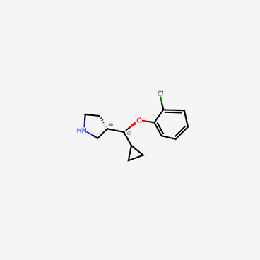 Clc1ccccc1O[C@@H](C1CC1)[C@H]1CCNC1